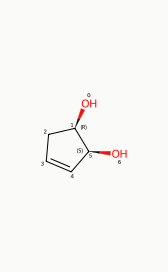 O[C@@H]1CC=C[C@@H]1O